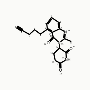 C#CCCCc1cccc2nc(C)n(C3CCC(=O)NC3=O)c(=O)c12